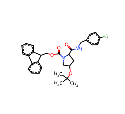 CC(C)(C)OC1CC(C(=O)NCc2ccc(Cl)cc2)N(C(=O)OCC2c3ccccc3-c3ccccc32)C1